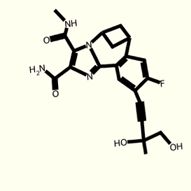 CNC(=O)c1c(C(N)=O)nc2n1C1CC(C1)c1cc(F)c(C#CC(C)(O)CO)cc1-2